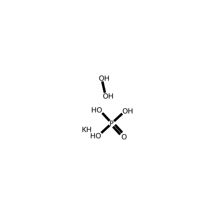 O=P(O)(O)O.OO.[KH]